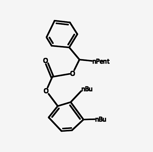 CCCCCC(OC(=O)Oc1cccc(CCCC)c1CCCC)c1ccccc1